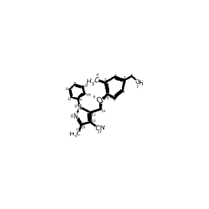 Cc1cc(CO)ccc1OCc1c(C#N)c(C)nn1-c1ccccc1